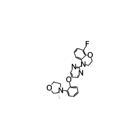 C[C@@H]1COCCN1c1ccccc1Oc1cnc(N2CCOc3c(F)cccc32)nc1